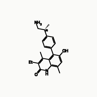 CCc1c(C)c2c(-c3ccc([C@@H](C)CN)cc3)c(O)cc(C)c2[nH]c1=O